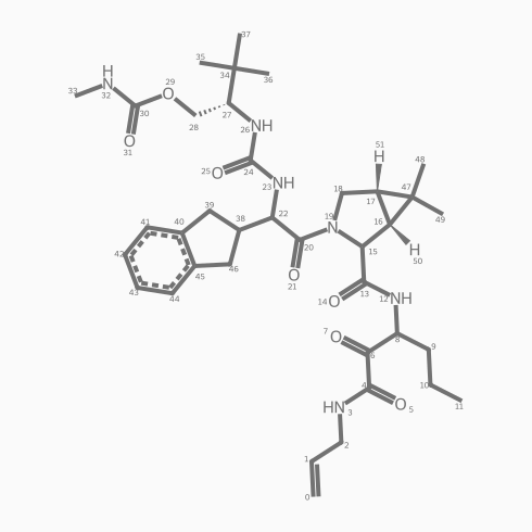 C=CCNC(=O)C(=O)C(CCC)NC(=O)C1[C@@H]2[C@H](CN1C(=O)C(NC(=O)N[C@H](COC(=O)NC)C(C)(C)C)C1Cc3ccccc3C1)C2(C)C